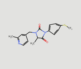 Cc1cc(CN2C(=O)N(c3ccc(SC(F)(F)F)cc3)C(=O)C2C)ccn1